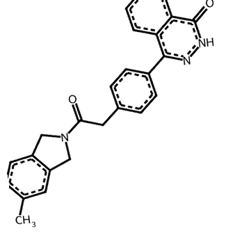 Cc1ccc2c(c1)CN(C(=O)Cc1ccc(-c3n[nH]c(=O)c4ccccc34)cc1)C2